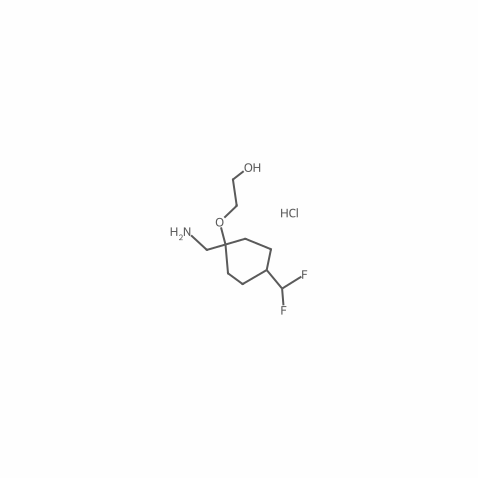 Cl.NCC1(OCCO)CCC(C(F)F)CC1